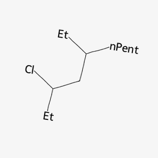 CCCCCC(CC)CC(Cl)CC